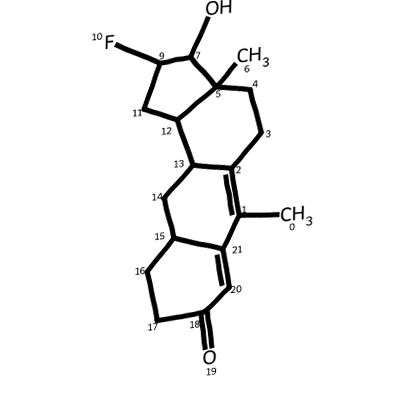 CC1=C2CCC3(C)C(O)C(F)CC3C2CC2CCC(=O)C=C12